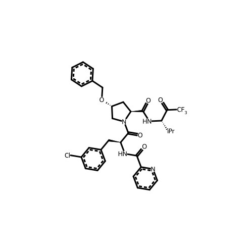 CC(C)[C@H](NC(=O)[C@@H]1C[C@@H](OCc2ccccc2)CN1C(=O)[C@H](Cc1cccc(Cl)c1)NC(=O)c1ccccn1)C(=O)C(F)(F)F